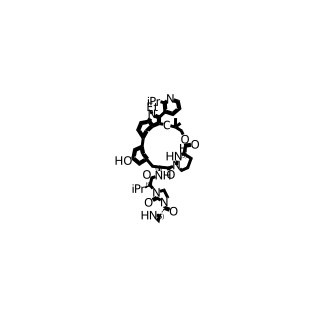 CCn1c(-c2cccnc2C(C)C)c2c3cc(ccc31)-c1cc(O)cc(c1)C[C@H](NC(=O)[C@H](C(C)C)N1CCN(C(=O)[C@@H]3CN3)C1=O)C(=O)N1CCC[C@H](N1)C(=O)OCC(C)(C)C2